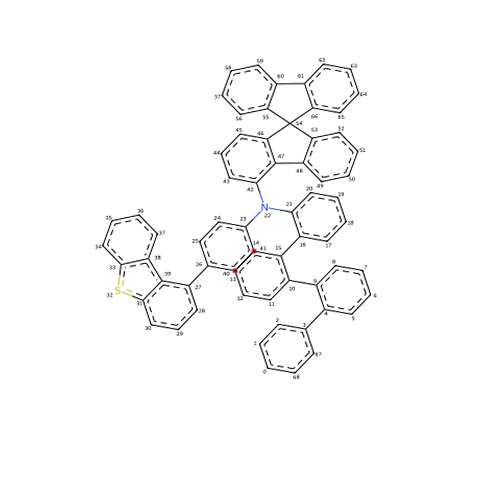 c1ccc(-c2ccccc2-c2ccccc2-c2ccccc2N(c2ccc(-c3cccc4sc5ccccc5c34)cc2)c2cccc3c2-c2ccccc2C32c3ccccc3-c3ccccc32)cc1